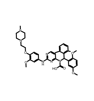 COc1ccc(OC)c(C(c2c(C)cccc2C)N(C(=O)O)c2ccnc(Nc3ccc(OCCN4CCN(C)CC4)c(OC)c3)n2)c1